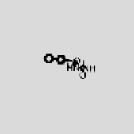 C[C@@H]1NC(=O)[C@@H]1NC(=O)OCc1ccc(C2CCCCC2)cc1